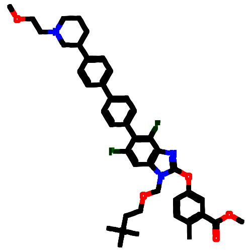 COCCN1CCCC(c2ccc(-c3ccc(-c4c(F)cc5c(nc(Oc6ccc(C)c(C(=O)OC)c6)n5COCC[Si](C)(C)C)c4F)cc3)cc2)C1